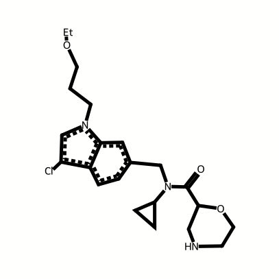 CCOCCCn1cc(Cl)c2ccc(CN(C(=O)C3CNCCO3)C3CC3)cc21